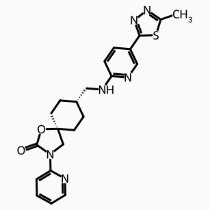 Cc1nnc(-c2ccc(NC[C@H]3CC[C@]4(CC3)CN(c3ccccn3)C(=O)O4)nc2)s1